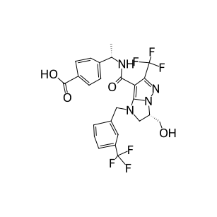 C[C@H](NC(=O)c1c(C(F)(F)F)nn2c1N(Cc1cccc(C(F)(F)F)c1)C[C@H]2CO)c1ccc(C(=O)O)cc1